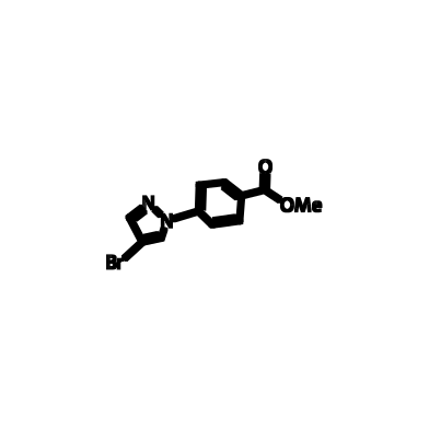 COC(=O)c1ccc(-n2cc(Br)cn2)cc1